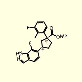 COC(=O)[C@@]1(c2cccc(F)c2C)CC[C@@H](c2ccc3cn[nH]c3c2F)C1